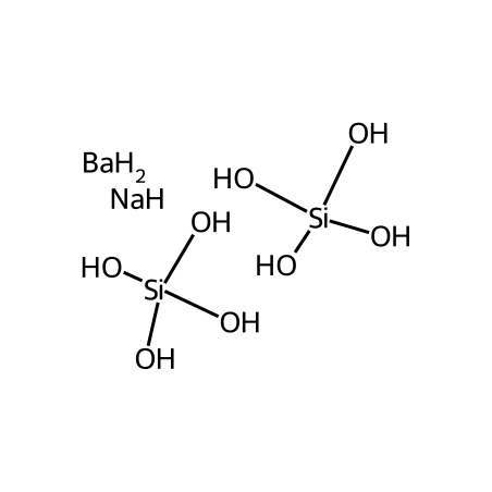 O[Si](O)(O)O.O[Si](O)(O)O.[BaH2].[NaH]